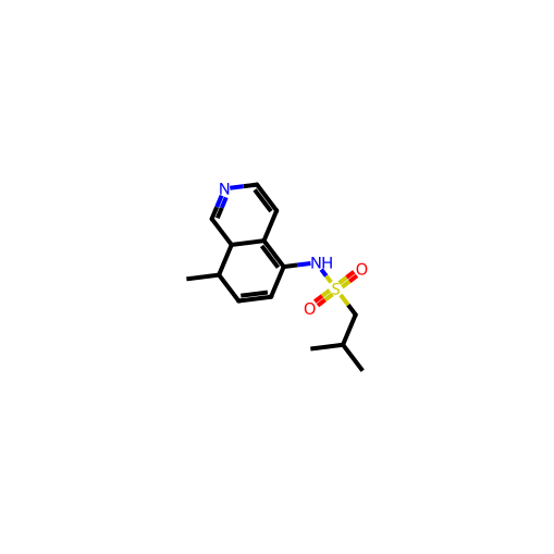 CC(C)CS(=O)(=O)NC1=C2C=CN=CC2C(C)C=C1